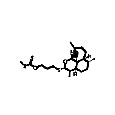 CSC(=S)OCCCS[C@@H]1O[C@@H]2O[C@@]3(C)CC[C@H]4[C@H](C)CC[C@@H]([C@H]1C)[C@@]24OO3